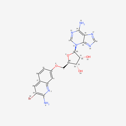 Nc1nc2cc(OC[C@H]3O[C@@H](n4cnc(N)c5ncnc4-5)[C@H](O)[C@@H]3O)ccc2cc1Br